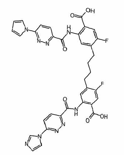 O=C(Nc1cc(CCCCc2cc(NC(=O)c3ccc(-n4ccnc4)nn3)c(C(=O)O)cc2F)c(F)cc1C(=O)O)c1ccc(-n2cccc2)nn1